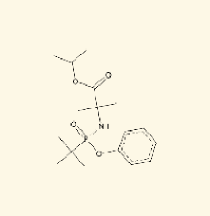 CC(C)OC(=O)C(C)(C)N[P@](=O)(Oc1ccccc1)C(C)(C)C